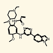 C=CC(=O)NC1=C(N(C)C2CCN(CC)CC2)C=CC(OC)C(Nc2cc(-c3ccc4c(cnn4C)c3)ncn2)=C1